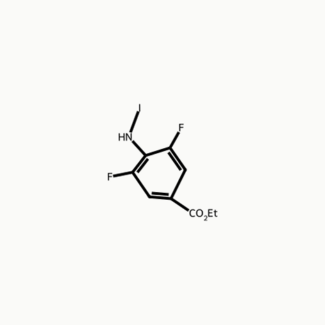 CCOC(=O)c1cc(F)c(NI)c(F)c1